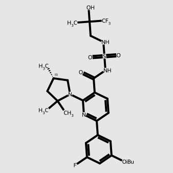 CC(C)COc1cc(F)cc(-c2ccc(C(=O)NS(=O)(=O)NCC(C)(O)C(F)(F)F)c(N3C[C@@H](C)CC3(C)C)n2)c1